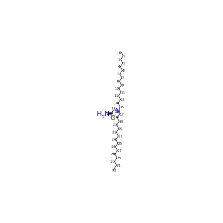 CCCCCCCCCCCCCCCCN(CCCCCCCCCCCCCCCC)CC(N)=O